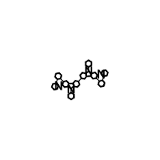 c1ccc(-n2c3ccc(-c4ccc5c(c4)c4cc(-c6ccccc6-c6ccccn6)ccc4n5-c4ccccc4)cc3c3cc(-c4ccccc4-c4ccccn4)ccc32)cc1